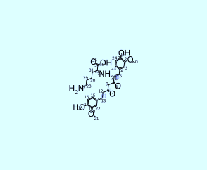 COc1cc(/C=C/C(=O)CC(=O)/C=C/c2ccc(O)c(OC)c2)ccc1O.NCCCCC(N)C(=O)O